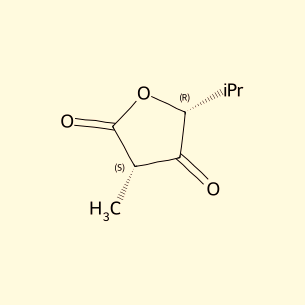 CC(C)[C@H]1OC(=O)[C@@H](C)C1=O